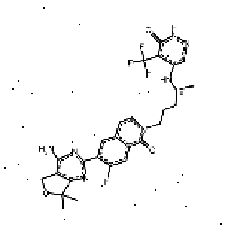 C[C@@H](CCCn1ccc2cc(-c3nc(N)c4c(n3)C(C)(C)OC4)c(F)cc2c1=O)Nc1cn[nH]c(=O)c1C(F)(F)F